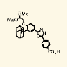 COC(COc1ccc(-c2nnc(-c3ccc(C(=O)O)cc3)o2)cc1C12CC3CC(CC(C3)C1)C2)OC